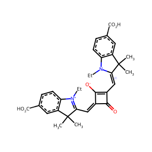 CCN1/C(=C\C2=C([O-])C(=CC3=[N+](CC)c4ccc(C(=O)O)cc4C3(C)C)C2=O)C(C)(C)c2cc(C(=O)O)ccc21